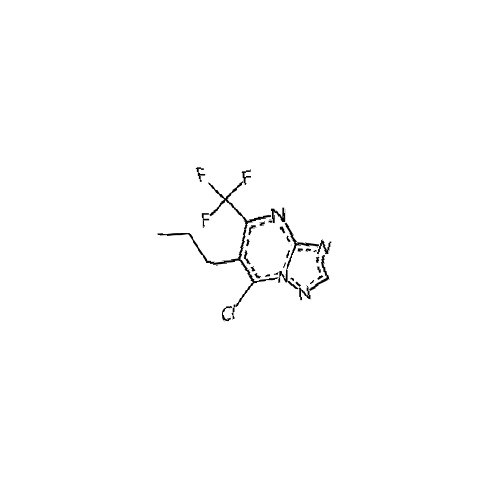 CCCc1c(C(F)(F)F)nc2ncnn2c1Cl